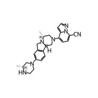 C[C@@H]1CN(c2ccc3c(c2)CN2[C@H](C)CN(c4ccc(C#N)n5nccc45)C[C@H]32)CCN1